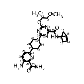 COC[C@@H](C)Oc1nc(C(=O)NC23CC=C2C3)nc(N2CCC(c3ccc(N)c(C(N)=O)n3)CC2)n1